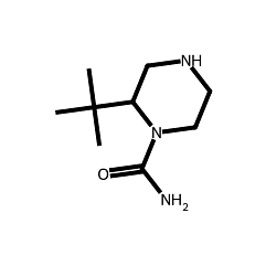 CC(C)(C)C1CNCCN1C(N)=O